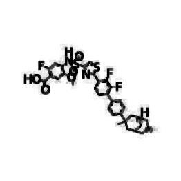 COc1cc(C(=O)O)c(F)cc1NS(=O)(=O)c1csc(-c2ccc(-c3ccc(C4(C)CC5C[C@@H](C)C[C@@H](C5)C4)cc3)c(F)c2F)n1